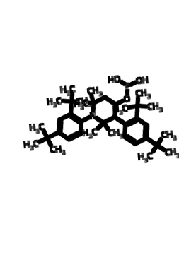 CC(C)(C)c1ccc(C2C(OP(O)O)CC(C)(C)N(c3ccc(C(C)(C)C)cc3C(C)(C)C)C2(C)C)c(C(C)(C)C)c1